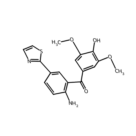 COc1cc(C(=O)c2cc(-c3nccs3)ccc2N)cc(OC)c1O